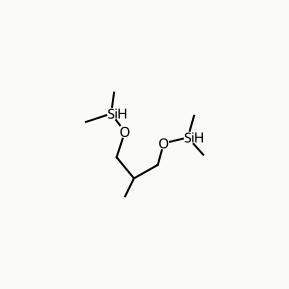 CC(CO[SiH](C)C)CO[SiH](C)C